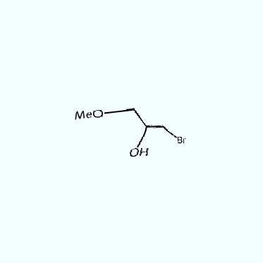 COCC(O)CBr